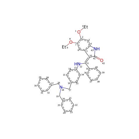 CCOc1cc2c(cc1OCC)C(=C(Nc1ccc(CN(Cc3ccccc3)Cc3ccccc3)cc1)c1ccccc1)C(=O)N2